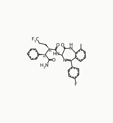 Cc1cccc2c1NC(=O)C(NC(=O)[C@H](CCC(F)(F)F)[C@@H](C(N)=O)c1ccccc1)N=C2c1ccc(F)cc1